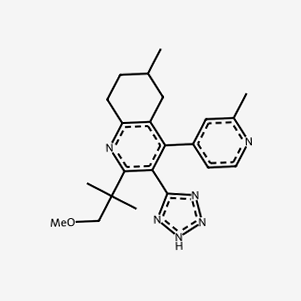 COCC(C)(C)c1nc2c(c(-c3ccnc(C)c3)c1-c1nn[nH]n1)CC(C)CC2